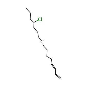 C=CC=CCCCCCCCCC(Cl)CCC